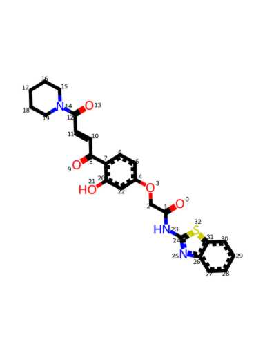 O=C(COc1ccc(C(=O)C=CC(=O)N2CCCCC2)c(O)c1)Nc1nc2ccccc2s1